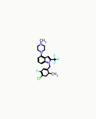 CC1CC(Cl)=C(F)C=C1Cn1c(C(F)(F)F)cc2c(N3CCN(C)CC3)cccc21